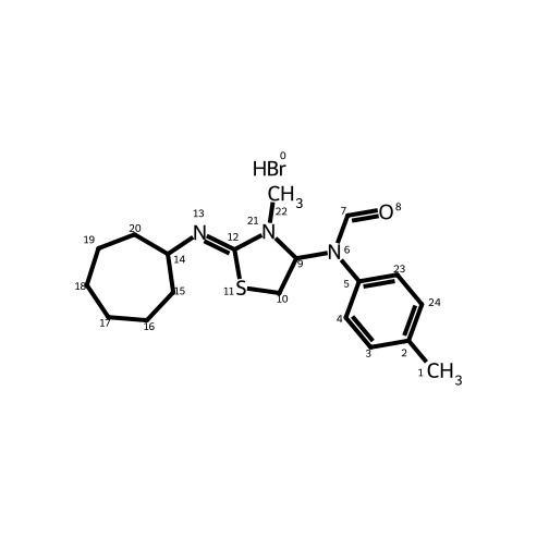 Br.Cc1ccc(N(C=O)C2CSC(=NC3CCCCCC3)N2C)cc1